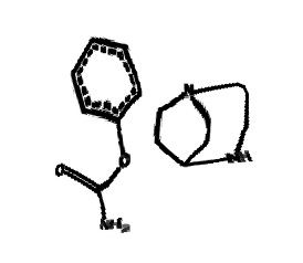 C1CN2CCC(CC2)N1.NC(=O)Oc1ccccc1